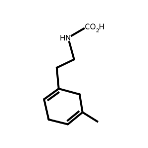 CC1=CCC=C(CCNC(=O)O)C1